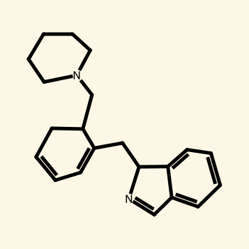 C1=CCC(CN2CCCCC2)C(CC2N=Cc3ccccc32)=C1